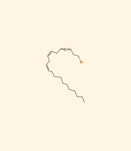 CCCCCCCCCC/C=C\C/C=C\CC=C=CCCBr